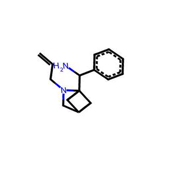 C=CCN1CC2CC1(C(N)c1ccccc1)C2